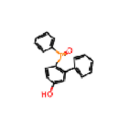 O=[P](c1ccccc1)c1ccc(O)cc1-c1ccccc1